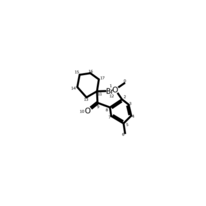 COc1ccc(C)cc1C(=O)C1(Br)CCCCC1